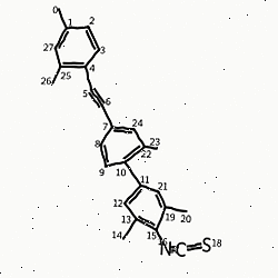 Cc1ccc(C#Cc2ccc(-c3cc(C)c(N=C=S)c(C)c3)c(C)c2)c(C)c1